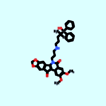 COc1cc2c3c(n(CCCNCCCC(C)(C)[Si](O)(c4ccccc4)c4ccccc4)c(=O)c2cc1OC)-c1cc2c(cc1C3=O)OCO2